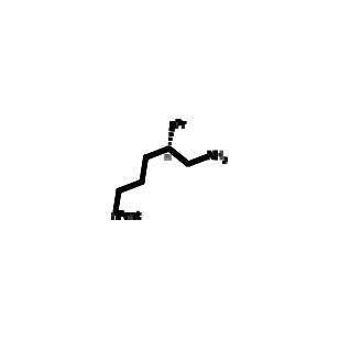 CCCCCCCC[C@@H](CN)CCC